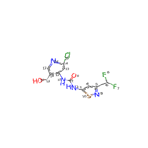 O=C(Nc1cc(C(F)F)ns1)Nc1cc(Cl)ncc1CO